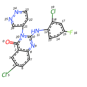 O=c1c2cc(Cl)ccc2nc(Nc2ccc(F)cc2Cl)n1-c1ccnnc1